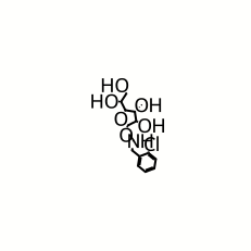 OC[C@H](O)[C@H]1O[C@H](ONCc2ccccc2Cl)[C@H](O)[C@H]1O